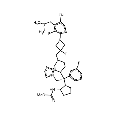 COC(=O)N[C@H]1CCC[C@@H]1[C@](Cn1ccnn1)(c1cccc(F)c1)C1CCN(CC2(F)CN(c3ccc(C#N)c(CN(C)C)c3F)C2)CC1